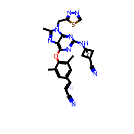 Cc1cc(/C=C/C#N)cc(C)c1Oc1nc(NC23CC(C#N)(C2)C3)nc2c1nc(C)n2Cc1nncs1